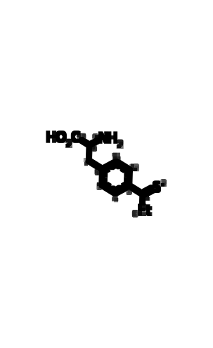 CCC(=S)c1ccc(CC(N)C(=O)O)cc1